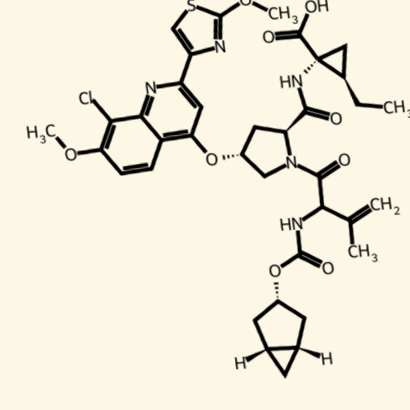 C=C(C)C(NC(=O)O[C@@H]1C[C@@H]2C[C@@H]2C1)C(=O)N1C[C@H](Oc2cc(-c3csc(OC)n3)nc3c(Cl)c(OC)ccc23)C[C@H]1C(=O)N[C@]1(C(=O)O)C[C@H]1CC